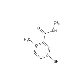 CNC(=O)c1cc(S)ccc1C